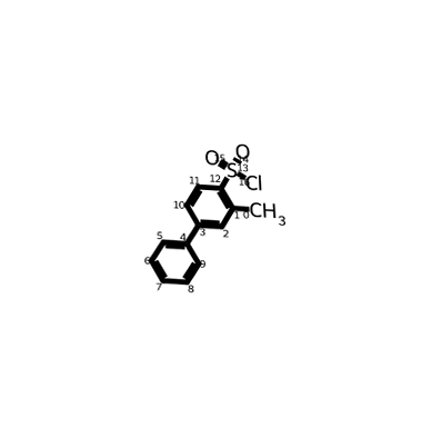 Cc1cc(-c2ccccc2)ccc1S(=O)(=O)Cl